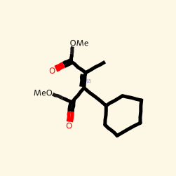 COC(=O)/C(C)=C(\C(=O)OC)C1CCCCC1